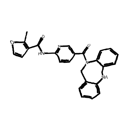 Cc1occc1C(=O)Nc1ccc(C(=O)N2Cc3ccccc3Nc3ccccc32)cn1